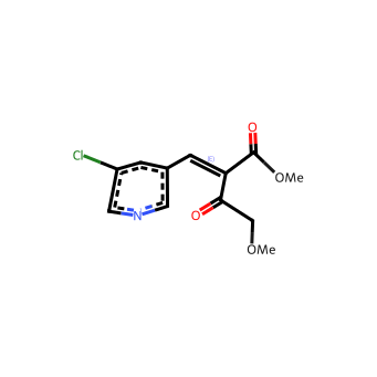 COCC(=O)/C(=C\c1cncc(Cl)c1)C(=O)OC